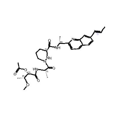 C/C=C/c1ccc2ccc([C@@H](C)NC(=O)[C@@H]3CCCN(C(=O)[C@H](C)NC(=O)[C@@H](OC(C)=O)[C@@H](C)OC)N3)nc2c1